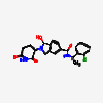 C[C@H](NC(=O)c1ccc2c(c1)CN(C1CCC(=O)NC1=O)C2O)c1ccccc1Cl